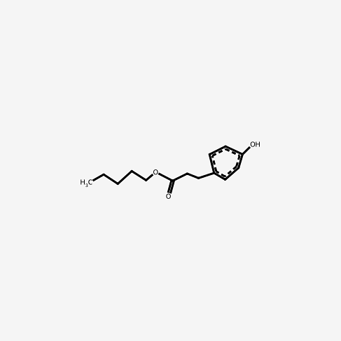 CCCCCOC(=O)CCc1ccc(O)cc1